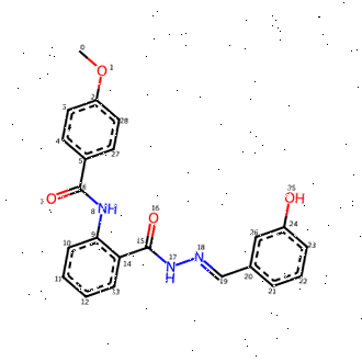 COc1ccc(C(=O)Nc2ccccc2C(=O)NN=Cc2cccc(O)c2)cc1